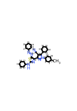 Cc1ccc(-n2nc(-c3nc(Nc4ccccc4)sc3N=Nc3ccccc3)c(C#N)c2-c2ccccc2)cc1